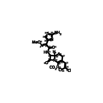 CON=C(C(=O)NC1C(=O)N2C(C(=O)O)=C(C=C(Cl)Cl)CS[C@@H]12)c1csc(N)n1